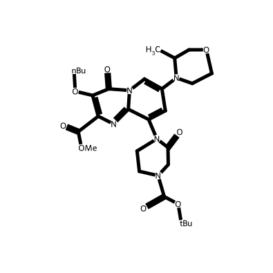 CCCCOc1c(C(=O)OC)nc2c(N3CCN(C(=O)OC(C)(C)C)CC3=O)cc(N3CCOCC3C)cn2c1=O